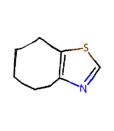 c1nc2c(s1)CCCC2